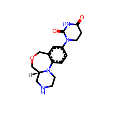 O=C1CCN(c2ccc3c(c2)COC[C@H]2CNCCN32)C(=O)N1